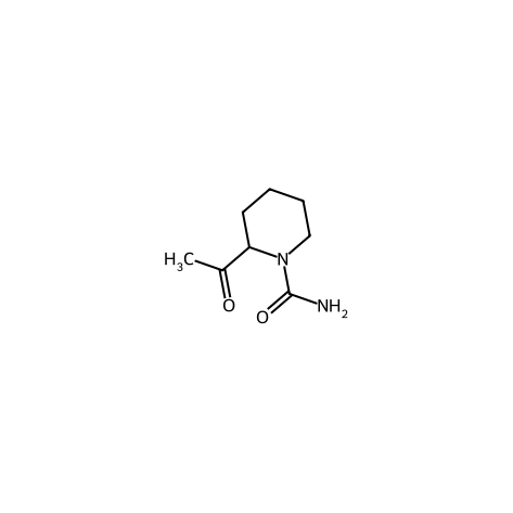 CC(=O)C1CCCCN1C(N)=O